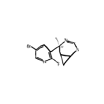 C[C@]1(c2cc(Br)cnc2F)N=[C]SC2CC21